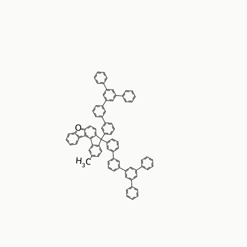 Cc1ccc2c(c1)-c1c(ccc3oc4ccccc4c13)C2(c1cccc(-c2cccc(-c3cc(-c4ccccc4)cc(-c4ccccc4)c3)c2)c1)c1cccc(-c2cccc(-c3cc(-c4ccccc4)cc(-c4ccccc4)c3)c2)c1